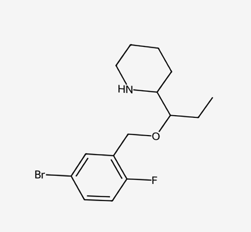 CCC(OCc1cc(Br)ccc1F)C1CCCCN1